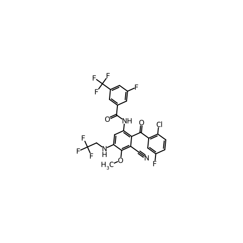 COc1c(NCC(F)(F)F)cc(NC(=O)c2cc(F)cc(C(F)(F)F)c2)c(C(=O)c2cc(F)ccc2Cl)c1C#N